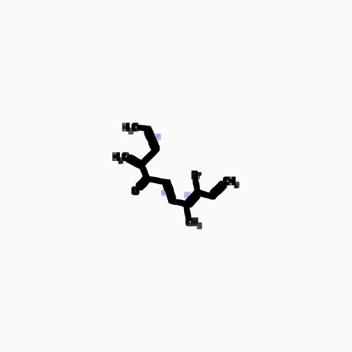 C=C/C(Br)=C(C)/C=C/C(=O)C(=C)/C=C\C